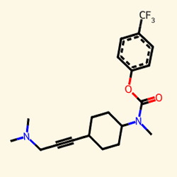 CN(C)CC#CC1CCC(N(C)C(=O)Oc2ccc(C(F)(F)F)cc2)CC1